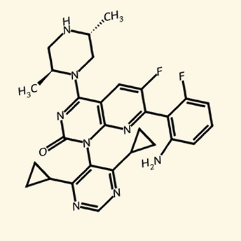 C[C@@H]1CN(c2nc(=O)n(-c3c(C4CC4)ncnc3C3CC3)c3nc(-c4c(N)cccc4F)c(F)cc23)[C@@H](C)CN1